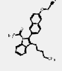 CCCCCc1c(-c2ccc3cc(OCC#N)ccc3c2)n(C(C)=O)c2ccccc12